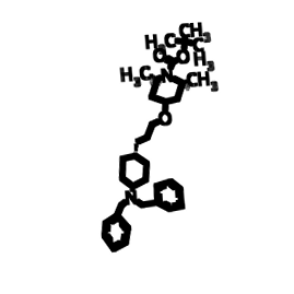 C[C@@H]1CC(OCCC[C@H]2CC[C@H](N(Cc3ccccc3)Cc3ccccc3)CC2)C[C@H](C)N1C(=O)OC(C)(C)C